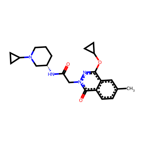 Cc1ccc2c(=O)n(CC(=O)N[C@H]3CCCN(C4CC4)C3)nc(OC3CC3)c2c1